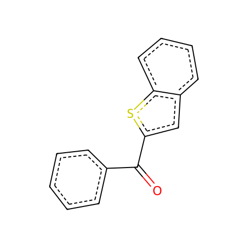 O=C(c1ccccc1)c1cc2ccccc2s1